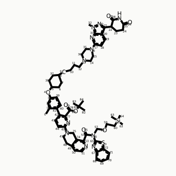 Cc1cc(OC2CCC(CCCCN3CCN(c4ccc5c(C6CCC(=O)NC6=O)nn(C)c5n4)CC3)CC2)ccc1-c1ccc(N2CCc3ccnc(C(=O)N(COCC[Si](C)(C)C)c4nc5ccccc5s4)c3C2)nc1C(=O)OC(C)(C)C